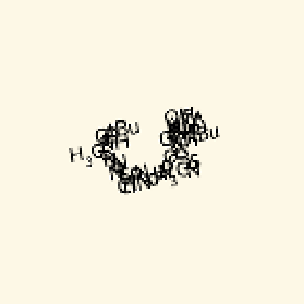 Cc1ncsc1-c1ccc(CNC(=O)[C@@H]2C[C@@H](O)CN2C(=O)[C@@H](NC(=O)C2(F)CC2)C(C)(C)C)c(OC2CCN(CC3CCC(Nc4nccc(Sc5cnc(N6CCC(C)(CNC(=O)OC(C)(C)C)CC6)cn5)c4Cl)CC3)CC2)c1